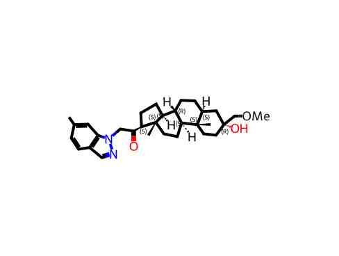 COC[C@@]1(O)CC[C@@]2(C)[C@@H](CC[C@@H]3[C@@H]2CC[C@]2(C)[C@@H](C(=O)Cn4ncc5ccc(C)cc54)CC[C@@H]32)C1